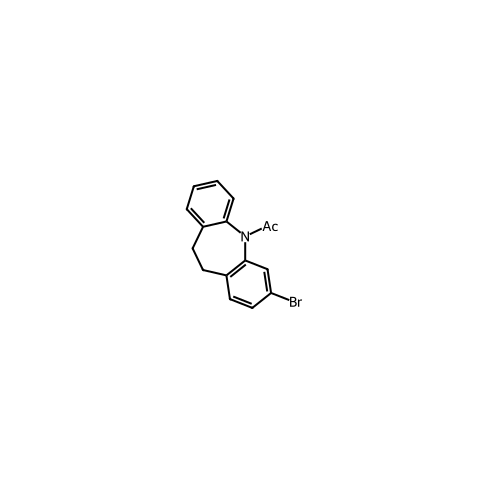 CC(=O)N1c2ccccc2CCc2ccc(Br)cc21